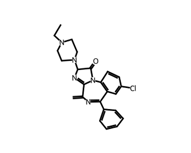 C=C1N=C(c2ccccc2)c2cc(Cl)ccc2N2C(=O)C(N3CCN(CC)CC3)N=C12